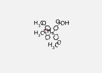 COc1ccc(C(=C(c2ccc(OC)cc2)c2ccccc2C(C)C)c2ccc(C(=O)O)cc2)cc1